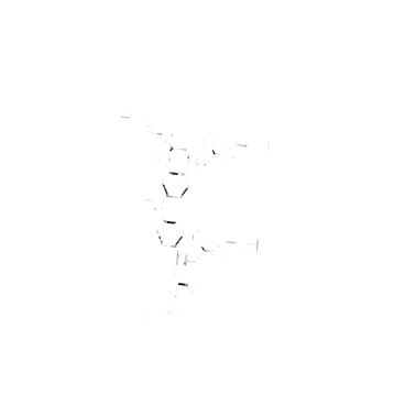 CCOC(=O)CN(CC(=O)OCC)c1ccc([Te]c2ccc(N(CC(=O)OCC)CC(=O)OCC)cc2)cc1